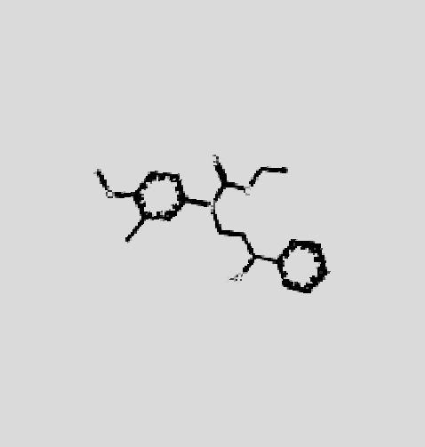 CCOC(=O)N(CCC(O)c1ccccc1)c1ccc(OC)c(C)c1